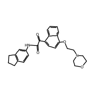 O=C(Nc1ccc2c(c1)CCC2)C(=O)c1ccc(OCCN2CCOCC2)c2ccccc12